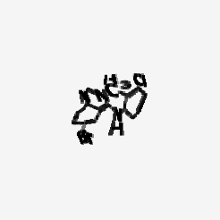 Cc1c(Cl)cccc1Nc1ncnc2ccc(Br)cc12